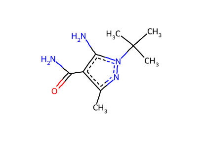 Cc1nn(C(C)(C)C)c(N)c1C(N)=O